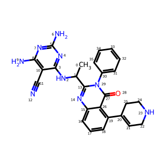 CC(Nc1nc(N)nc(N)c1C#N)c1nc2cccc(C3=CCNCC3)c2c(=O)n1-c1ccccc1